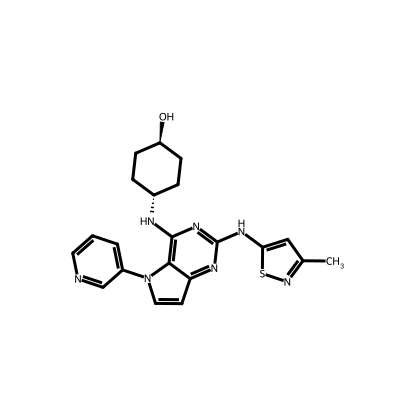 Cc1cc(Nc2nc(N[C@H]3CC[C@H](O)CC3)c3c(ccn3-c3cccnc3)n2)sn1